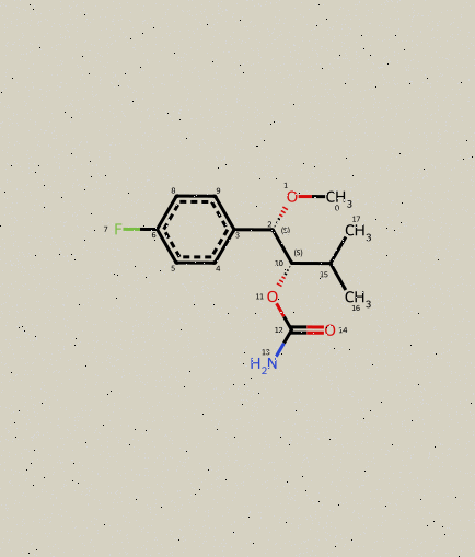 CO[C@@H](c1ccc(F)cc1)[C@@H](OC(N)=O)C(C)C